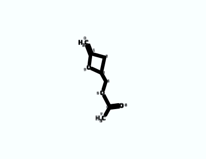 C=C1CC(COC(C)=O)O1